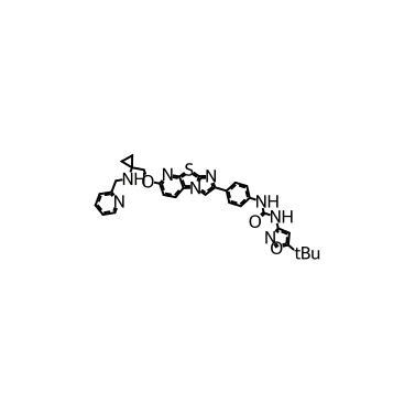 CC(C)(C)c1cc(NC(=O)Nc2ccc(-c3cn4c(n3)sc3nc(OCC5(NCc6ccccn6)CC5)ccc34)cc2)no1